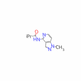 CC(C)C(=O)Nc1nccc2c1cnn2C